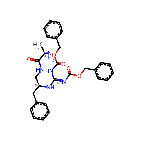 C[C@@H](N)C(=O)NC[C@H](Cc1ccccc1)N/C(=N/C(=O)OCc1ccccc1)NC(=O)OCc1ccccc1